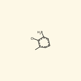 Bc1cccc(C)c1Cl